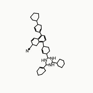 N#CC1C=Cc2c(C3=CCC(C4CCCCC4)C=C3)ccc(C3C=CC(C4NC(C5=CCCCC5)NC(C5CCCCC5)N4)CC3)c2C1